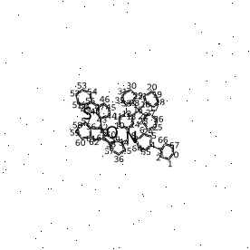 c1ccc(-c2ccc(N(c3ccc4c(c3)C(c3ccccc3)(c3ccccc3)c3ccccc3-4)c3cccc4c3oc3c(-c5cccc6c5sc5ccccc56)c5ccccc5cc34)cc2)cc1